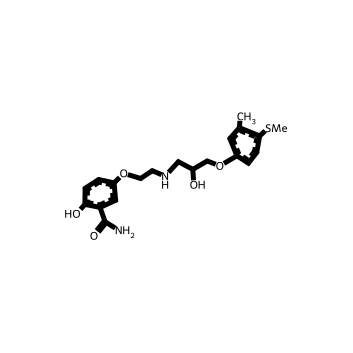 CSc1ccc(OCC(O)CNCCOc2ccc(O)c(C(N)=O)c2)cc1C